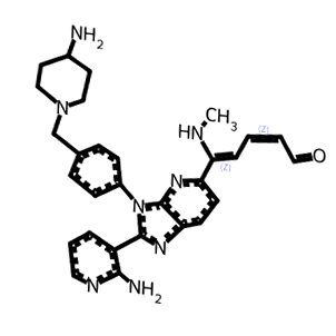 CN/C(=C\C=C/C=O)c1ccc2nc(-c3cccnc3N)n(-c3ccc(CN4CCC(N)CC4)cc3)c2n1